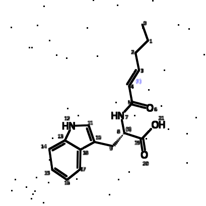 CCC/C=C/C(=O)N[C@@H](Cc1c[nH]c2ccccc12)C(=O)O